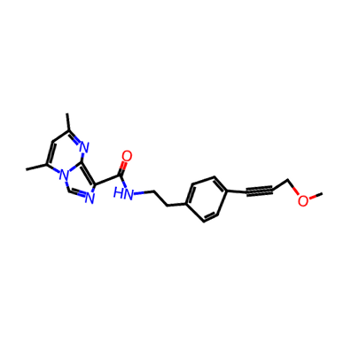 COCC#Cc1ccc(CCNC(=O)c2ncn3c(C)cc(C)nc23)cc1